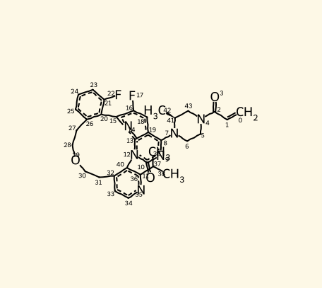 C=CC(=O)N1CCN(c2nc(=O)n3c4nc(c(F)cc24)-c2c(F)cccc2CCOCCc2ccnc(C(C)C)c2-3)[C@@H](C)C1